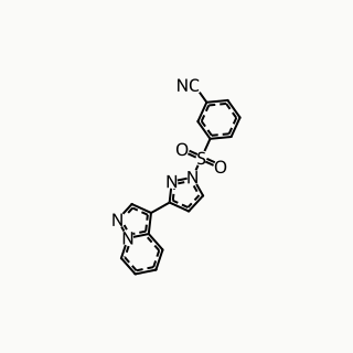 N#Cc1cccc(S(=O)(=O)n2ccc(-c3cnn4ccccc34)n2)c1